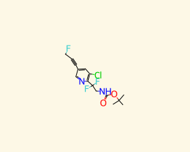 CC(C)(C)OC(=O)NCC(F)(F)c1ncc(C#CCF)cc1Cl